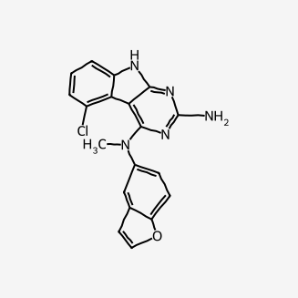 CN(c1ccc2occc2c1)c1nc(N)nc2[nH]c3cccc(Cl)c3c12